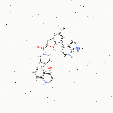 O=C(C1Cc2cc(Cl)cc(-c3ccnc4[nH]ccc34)c2O1)N1CCC(O)(c2cccc3ncccc23)CC1